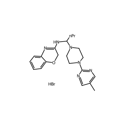 Br.CCCC(NC1=Nc2ccccc2OC1)N1CCN(c2ncc(C)cn2)CC1